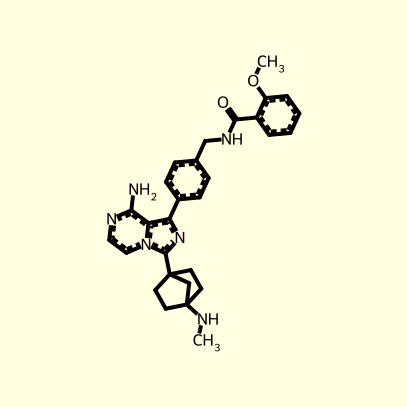 CNC12CCC(c3nc(-c4ccc(CNC(=O)c5ccccc5OC)cc4)c4c(N)nccn34)(CC1)C2